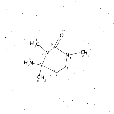 CN1CCC(C)(N)N(C)C1=O